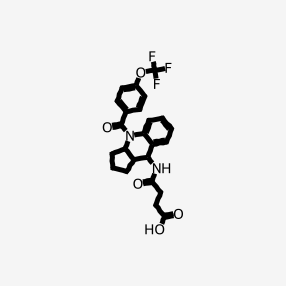 O=C(O)CCC(=O)NC1c2ccccc2N(C(=O)c2ccc(OC(F)(F)F)cc2)C2CCCC12